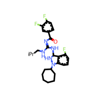 CC(C)CN/C(=N/C(=O)c1ccc(F)c(F)c1)NC1NN(C2CCCCCC2)c2cccc(F)c21